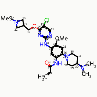 C=CC(=O)Nc1cc(Nc2ncc(Cl)c(OCC3CN(SC)C3)n2)c(OC)cc1N1CCC(N(C)C)CC1